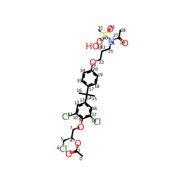 CC(=O)O[C@@H](CCl)COc1c(Cl)cc(C(C)(C)c2ccc(OC[C@H](O)CN(C(C)=O)S(C)(=O)=O)cc2)cc1Cl